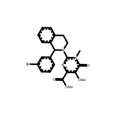 COC(=O)c1nc(N2CCc3ccccc3C2c2cccc(Br)c2)n(C)c(=O)c1OC